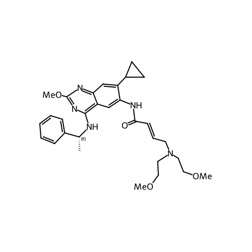 COCCN(CC=CC(=O)Nc1cc2c(N[C@H](C)c3ccccc3)nc(OC)nc2cc1C1CC1)CCOC